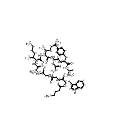 CCCCCCCCCCCCCC(=O)N[C@@H](Cc1c[nH]c2ccccc12)C(=O)NCC(=O)NCC(=O)N[C@H](C(=O)N[C@H](C(=O)N[C@H](C(=O)N[C@@H](CC(N)=O)C(=O)N[C@@H](Cc1ccc(O)cc1)C(=O)N[C@@H](C)C(=O)O)C(N)CCCN)C(N)CCCN)[C@@H](C)CC